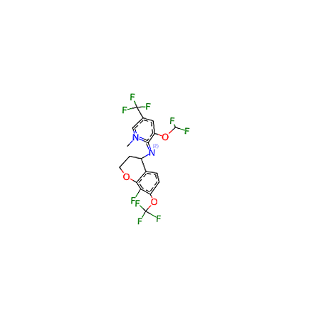 Cn1cc(C(F)(F)F)cc(OC(F)F)/c1=N/C1CCOc2c1ccc(OC(F)(F)F)c2F